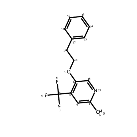 Cc1cc(C(F)(F)F)c(OCCc2ccccc2)cn1